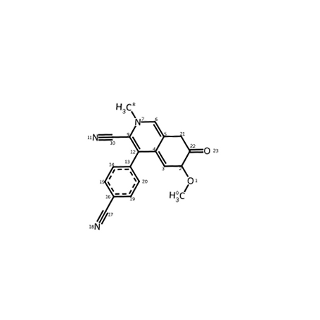 COC1C=C2C(=CN(C)C(C#N)=C2c2ccc(C#N)cc2)CC1=O